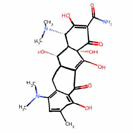 Cc1cc(N(C)C)c2c(c1O)C(=O)C1=C(O)[C@]3(O)C(=O)C(C(N)=O)=C(O)[C@@H](N(C)C)C3[C@@H](O)C1C2